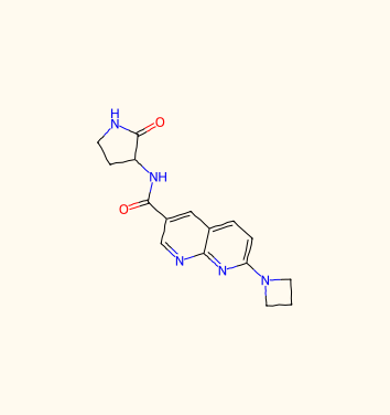 O=C(NC1CCNC1=O)c1cnc2nc(N3CCC3)ccc2c1